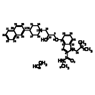 CNC(=O)c1cc2c(OCC(O)CN3CCC(c4ccc5ccccc5c4)CC3)cccc2n1CC(C)C.Cl.O